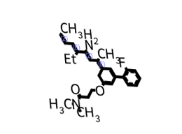 C\C=C/C=C(CC)/C(N)=C/C(C)=C1/C=C(c2ccccc2F)C=C(OCCC(=O)N(C)C)C1